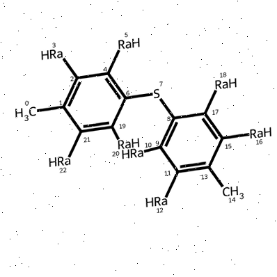 Cc1[c]([RaH])[c]([RaH])c(Sc2[c]([RaH])[c]([RaH])c(C)[c]([RaH])[c]2[RaH])[c]([RaH])[c]1[RaH]